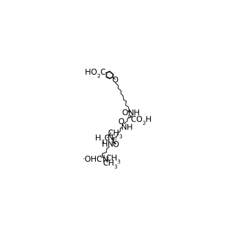 CN(C)[C@H]([C]=O)CCCCNC(=O)[C@H](CCCCNC(=O)CC[C@H](NC(=O)CCCCCCCCCCOc1ccc(C(=O)O)cc1)C(=O)O)N(C)C